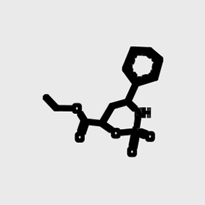 CCOC(=O)C1CC(c2ccccc2)NS(=O)(=O)O1